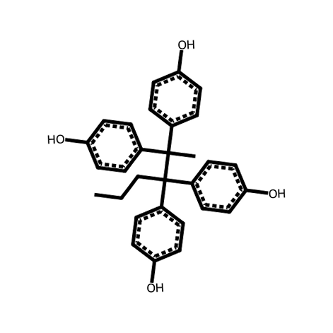 CCCC(c1ccc(O)cc1)(c1ccc(O)cc1)C(C)(c1ccc(O)cc1)c1ccc(O)cc1